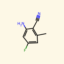 Cc1cc(F)cc(N)c1C#N